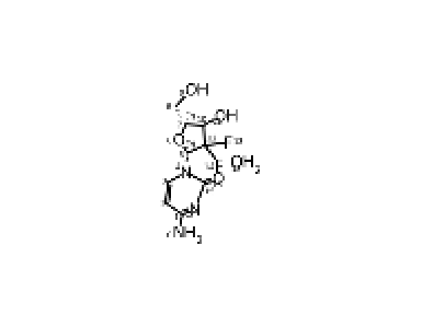 Nc1ccn([C@@H]2O[C@H](CO)C(O)C2(F)F)c(=O)n1.O